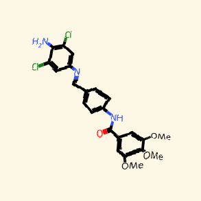 COc1cc(C(=O)Nc2ccc(C=Nc3cc(Cl)c(N)c(Cl)c3)cc2)cc(OC)c1OC